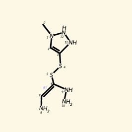 CN1C=C(SS/C(=C/N)NN)NN1